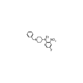 CCN(c1ncc(F)cc1[N+](=O)[O-])C1CCN(Cc2ccccc2)CC1